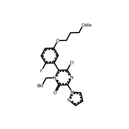 CCC(C)Cn1c(-c2cc(OCCCOC)ccc2F)c(Cl)nc(-n2cccn2)c1=O